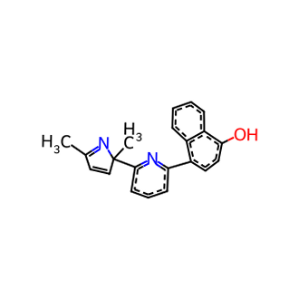 CC1=NC(C)(c2cccc(-c3ccc(O)c4ccccc34)n2)C=C1